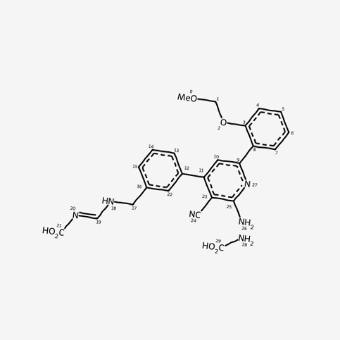 COCOc1ccccc1-c1cc(-c2cccc(CNC=NC(=O)O)c2)c(C#N)c(N)n1.NC(=O)O